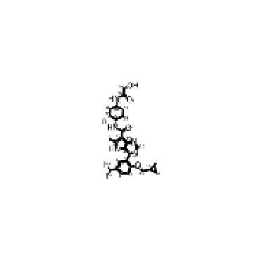 Cc1[nH]c2c(-c3cc(C(F)F)ccc3OCC3CC3)ncnc2c1C(=O)N[C@H]1CC[C@H](NC(=O)CO)C[C@H]1C